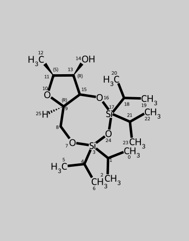 CC(C)[Si]1(C(C)C)OC[C@H]2O[C@@H](C)[C@@H](O)C2O[Si](C(C)C)(C(C)C)O1